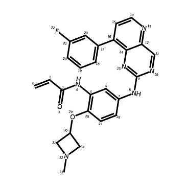 C=CC(=O)Nc1cc(Nc2ncc3nccc(-c4cccc(F)c4)c3n2)ccc1OC1CN(C)C1